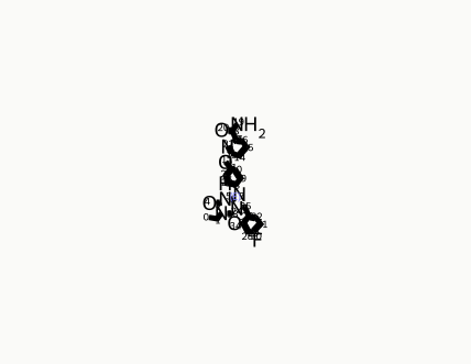 CCn1c(=O)[nH]/c(=N\c2ccc(Oc3cccc(C(N)=O)n3)cc2)n(Cc2ccc(F)cc2)c1=O